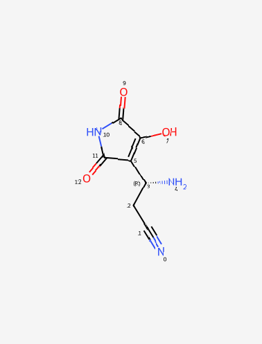 N#CC[C@@H](N)C1=C(O)C(=O)NC1=O